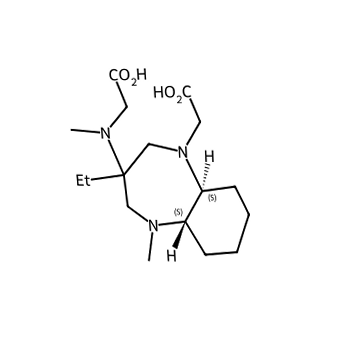 CCC1(N(C)CC(=O)O)CN(C)[C@H]2CCCC[C@@H]2N(CC(=O)O)C1